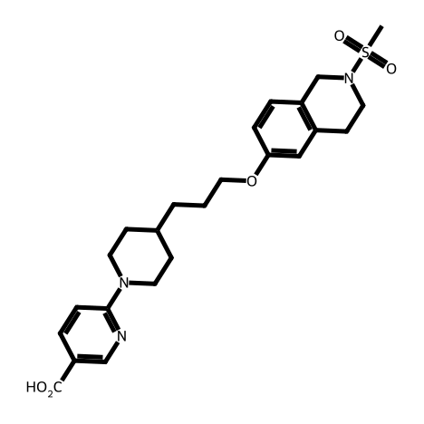 CS(=O)(=O)N1CCc2cc(OCCCC3CCN(c4ccc(C(=O)O)cn4)CC3)ccc2C1